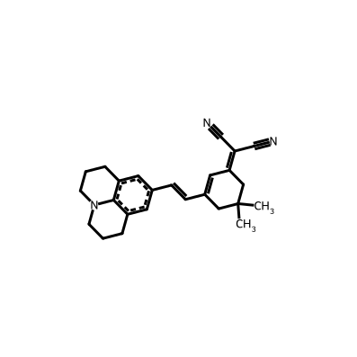 CC1(C)CC(/C=C/c2cc3c4c(c2)CCCN4CCC3)=CC(=C(C#N)C#N)C1